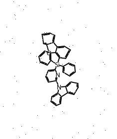 c1ccc([Si](c2ccccc2)(c2cccc(-n3c4ccccc4c4ccccc43)n2)c2cccc3c2oc2ccccc23)cc1